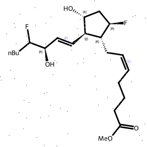 CCCCC(F)[C@H](O)/C=C/[C@@H]1[C@@H](C/C=C\CCCC(=O)OC)[C@H](F)C[C@H]1O